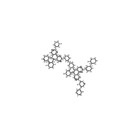 c1ccc(-c2cccc(-c3ncc4c(n3)c3nc(-c5cccc(-c6ccccc6)c5)ncc3c3c5ccc(-c6cccc(-c7ncc8c(n7)c7nc(-c9ccccc9)ncc7c7c9ccccc9c9ccccc9c87)c6)cc5c5ccccc5c43)c2)cc1